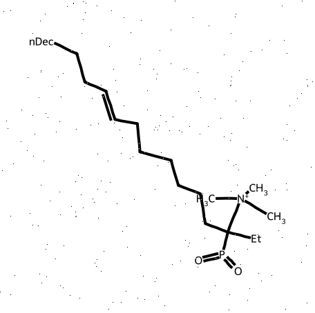 CCCCCCCCCCCCC=CCCCCCCC(CC)(P(=O)=O)[N+](C)(C)C